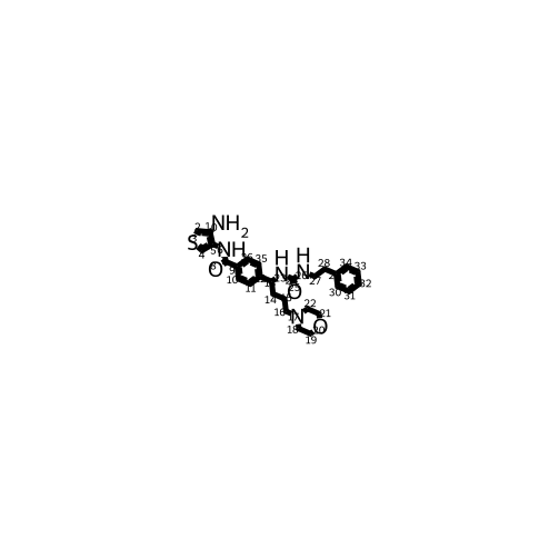 Nc1cscc1NC(=O)c1ccc(C(CCCN2CCOCC2)NC(=O)NCCc2ccccc2)cc1